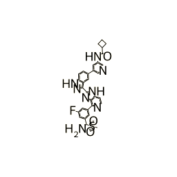 CS(=O)(=O)C(N)c1cc(F)cc(-c2nccc3[nH]c(-c4n[nH]c5ccc(-c6cncc(NC(=O)C7CCC7)c6)cc45)nc23)c1